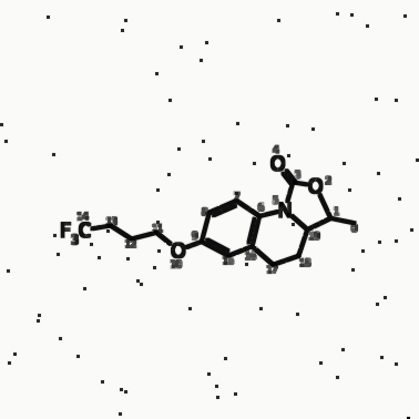 CC1OC(=O)N2c3ccc(OCCCC(F)(F)F)cc3CCC12